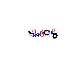 C=CC(=O)NC1CN(S(=O)(=O)C2CCN(C(=O)c3ccccc3)CC2)C1